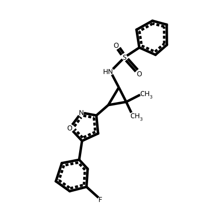 CC1(C)C(NS(=O)(=O)c2ccccc2)C1c1cc(-c2cccc(F)c2)on1